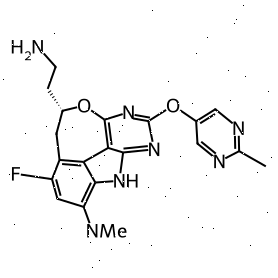 CNc1cc(F)c2c3c1[nH]c1nc(Oc4cnc(C)nc4)nc(c13)O[C@@H](CCN)C2